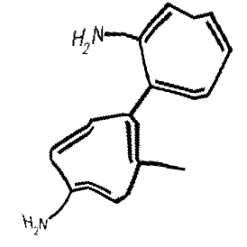 Cc1cc(N)ccc1-c1ccccc1N